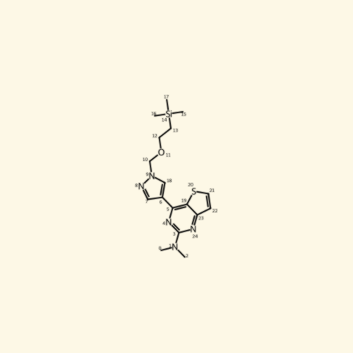 CN(C)c1nc(-c2cnn(COCC[Si](C)(C)C)c2)c2sccc2n1